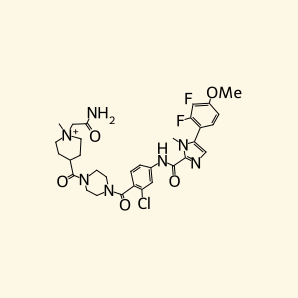 COc1ccc(-c2cnc(C(=O)Nc3ccc(C(=O)N4CCN(C(=O)C5CC[N+](C)(CC(N)=O)CC5)CC4)c(Cl)c3)n2C)c(F)c1F